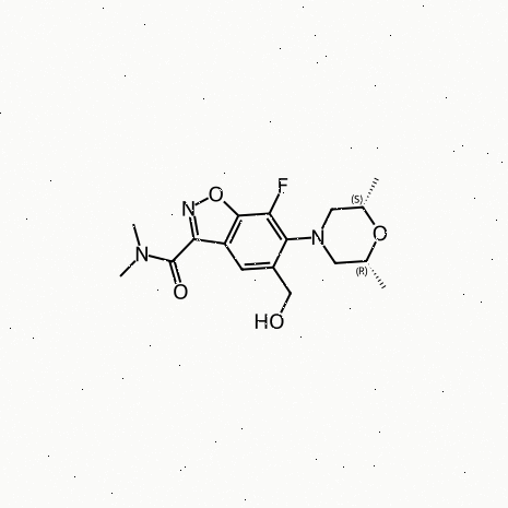 C[C@@H]1CN(c2c(CO)cc3c(C(=O)N(C)C)noc3c2F)C[C@H](C)O1